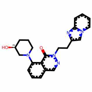 O=c1c2c(N3CCC[C@H](O)C3)cccc2cnn1CCc1cn2ccccc2n1